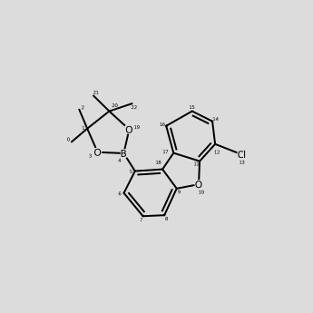 CC1(C)OB(c2cccc3oc4c(Cl)cccc4c23)OC1(C)C